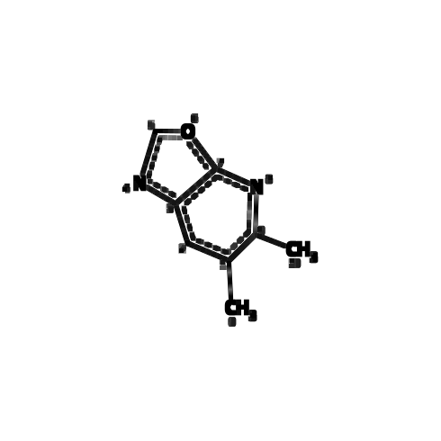 Cc1cc2ncoc2nc1C